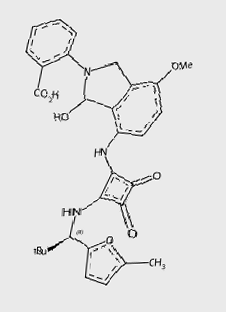 COc1ccc(Nc2c(N[C@@H](c3ccc(C)o3)C(C)(C)C)c(=O)c2=O)c2c1CN(c1ccccc1C(=O)O)C2O